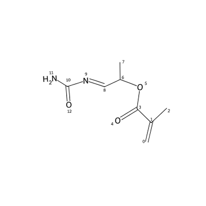 C=C(C)C(=O)OC(C)C=NC(N)=O